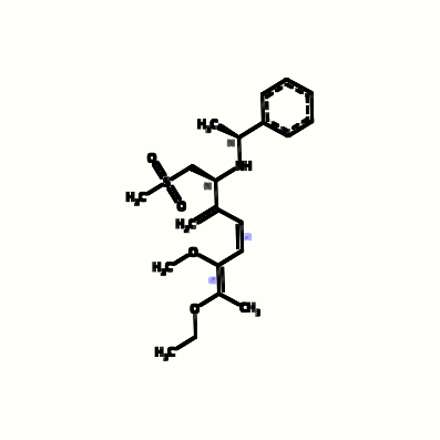 C=C(/C=C\C(OC)=C(/C)OCC)[C@@H](CS(C)(=O)=O)N[C@@H](C)c1ccccc1